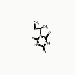 C=CC(C)n1c(=O)[nH]c(=O)[nH]c1=O